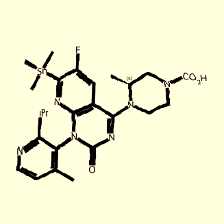 Cc1ccnc(C(C)C)c1-n1c(=O)nc(N2CCN(C(=O)O)C[C@@H]2C)c2cc(F)[c]([Sn]([CH3])([CH3])[CH3])nc21